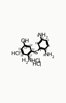 Cl.Cl.Cl.Nc1ccc(N)c(Sc2cc(O)ccc2N)c1